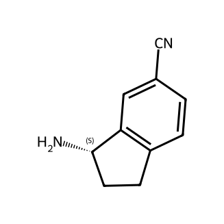 N#Cc1ccc2c(c1)[C@@H](N)CC2